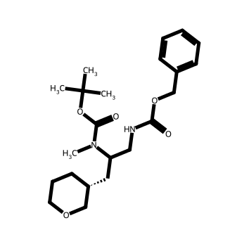 CN(C(=O)OC(C)(C)C)C(CNC(=O)OCc1ccccc1)C[C@H]1CCCOC1